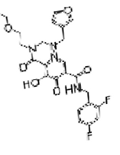 CCOCCN1CN(Cc2ccoc2)n2cc(C(=O)NCc3ccc(F)cc3F)c(=O)c(O)c2C1=O